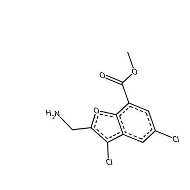 COC(=O)c1cc(Cl)cc2c(Cl)c(CN)oc12